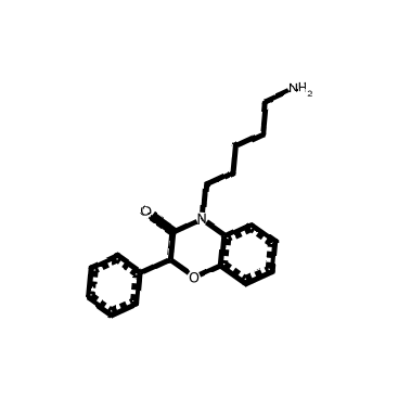 NCCCCCN1C(=O)C(c2ccccc2)Oc2ccccc21